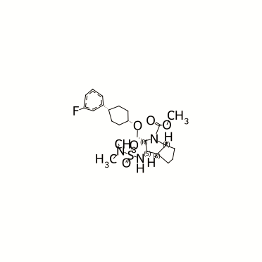 COC(=O)N1[C@@H]2CCC[C@@H]2[C@H](NS(=O)(=O)N(C)C)[C@@H]1CO[C@H]1CC[C@@H](c2cccc(F)c2)CC1